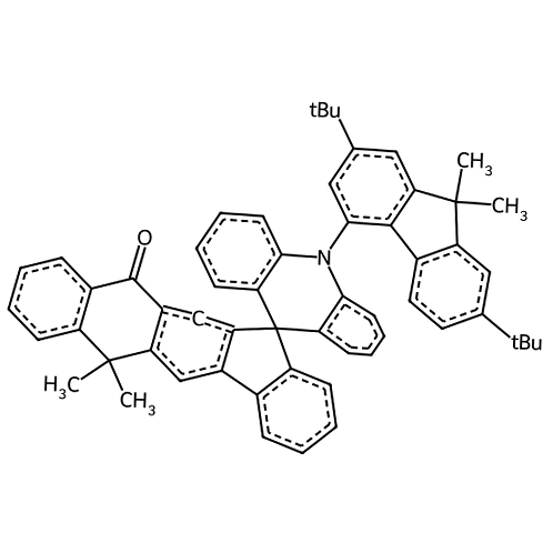 CC(C)(C)c1ccc2c(c1)C(C)(C)c1cc(C(C)(C)C)cc(N3c4ccccc4C4(c5ccccc5-c5cc6c(cc54)C(=O)c4ccccc4C6(C)C)c4ccccc43)c1-2